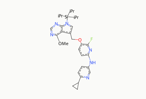 COc1ncnc2c1c(COc1ccc(Nc3ccc(C4CC4)nc3)nc1F)cn2[Si](C(C)C)(C(C)C)C(C)C